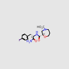 NC(=O)[C@H](Cc1ccc(I)cc1)NC(=O)[C@@H]1CN(C(=O)O)CCCO1